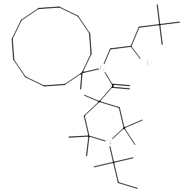 CCC(C)(C)N1C(C)(C)CC2(CC1(C)C)OC1(CCCCCCCCCCC1)N(CC(O)CC(C)(C)C)C2=O